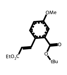 CCOC(=O)C=Cc1ccc(OC)cc1C(=O)OC(C)(C)C